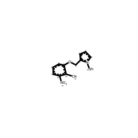 CCCn1cccc1COc1cccc([N+](=O)[O-])c1C#N